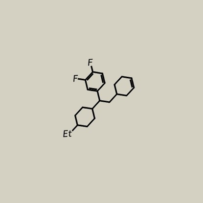 CCC1CCC(C(CC2CC=CCC2)c2ccc(F)c(F)c2)CC1